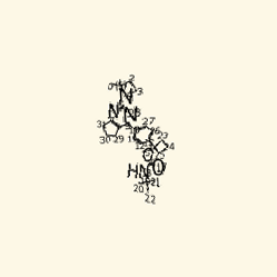 C[C@H]1CCN1c1nc2c(c(-c3ccc(C4(OC(=O)NC(C)(C)C)CCC4)cc3)n1)CCC2